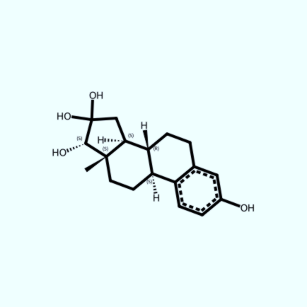 C[C@]12CC[C@@H]3c4ccc(O)cc4CC[C@H]3[C@@H]1CC(O)(O)[C@H]2O